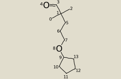 CC(C)(C=O)CCCOC1CCCC1